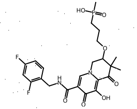 CC1(C)C(=O)c2c(O)c(=O)c(C(=O)NCc3ccc(F)cc3F)cn2CC1OCCCP(C)(=O)O